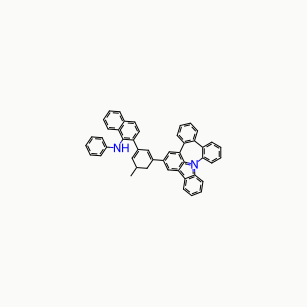 CC1C=C(c2ccc3ccccc3c2Nc2ccccc2)C=C(c2cc3c4c(c2)c2ccccc2n4-c2ccccc2-c2ccccc2-3)C1